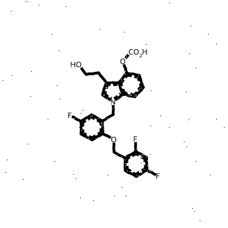 O=C(O)Oc1cccc2c1c(CCO)cn2Cc1cc(F)ccc1OCc1ccc(F)cc1F